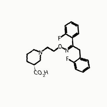 O=C(O)[C@@H]1CCCN(CCO/N=C(/Cc2ccccc2F)c2ccccc2F)C1